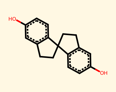 Oc1ccc2c(c1)CCC21CCc2cc(O)ccc21